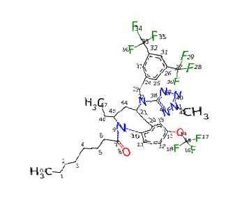 CCCCCCCC(=O)N1c2ccc(OC(F)(F)F)cc2C(N(Cc2cc(C(F)(F)F)cc(C(F)(F)F)c2)c2nnn(C)n2)CC1CC